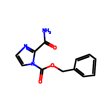 NC(=O)c1nccn1C(=O)OCc1ccccc1